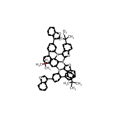 CC(C)(C)c1cc2c3c(c1)N(c1cc(-c4coc5ccccc45)ccc1-c1ccccc1)c1c(oc4ccc(C(C)(C)C)cc14)B3c1oc3ccc(C(C)(C)C)cc3c1N2c1cc(-c2coc3ccccc23)ccc1-c1ccccc1